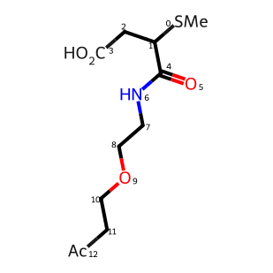 CSC(CC(=O)O)C(=O)NCCOCCC(C)=O